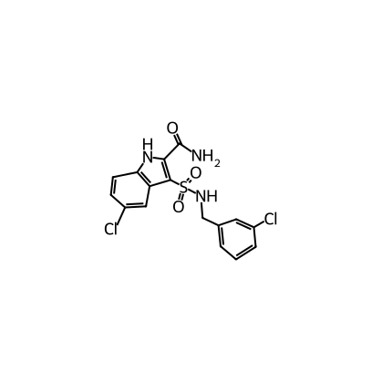 NC(=O)c1[nH]c2ccc(Cl)cc2c1S(=O)(=O)NCc1cccc(Cl)c1